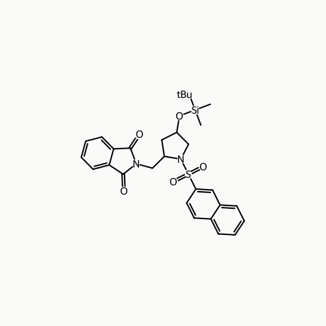 CC(C)(C)[Si](C)(C)OC1CC(CN2C(=O)c3ccccc3C2=O)N(S(=O)(=O)c2ccc3ccccc3c2)C1